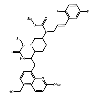 COc1ccc2c(CO)ccc(CC(NC(=O)OC(C)(C)C)C3CCC(N(CC=Cc4cc(F)ccc4F)C(=O)OC(C)(C)C)CO3)c2n1